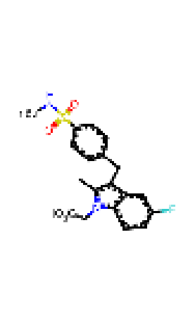 CCCCNS(=O)(=O)c1ccc(Cc2c(C)n(CC(=O)O)c3ccc(F)cc23)cc1